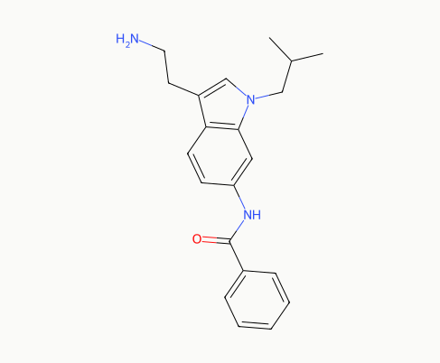 CC(C)Cn1cc(CCN)c2ccc(NC(=O)c3ccccc3)cc21